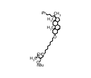 CCCCOC[C@H](COCCCCCCCCO[C@H]1CC[C@@]2(C)C(=CCC3C2CC[C@@]2(C)C3CC[C@@H]2[C@H](C)CCCC(C)C)C1)N(C)C